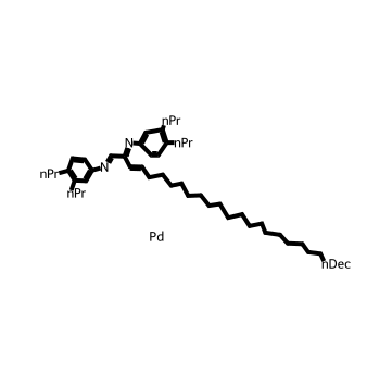 CCCCCCCCCCCCCCCCCCCCCCCCCCCC/C=C/C(/C=N/c1ccc(CCC)c(CCC)c1)=N\c1ccc(CCC)c(CCC)c1.[Pd]